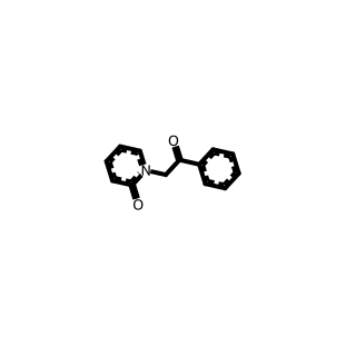 O=C(Cn1ccccc1=O)c1ccccc1